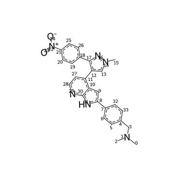 CN(C)Cc1ccc(-c2cc3c(-c4cn(C)nc4-c4ccc([N+](=O)[O-])cc4)ccnc3[nH]2)cc1